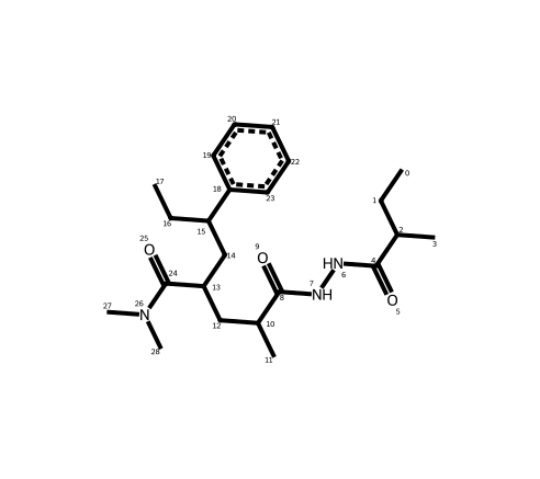 CCC(C)C(=O)NNC(=O)C(C)CC(CC(CC)c1ccccc1)C(=O)N(C)C